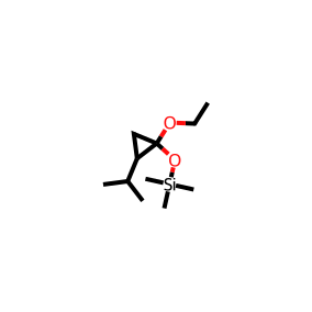 CCOC1(O[Si](C)(C)C)CC1C(C)C